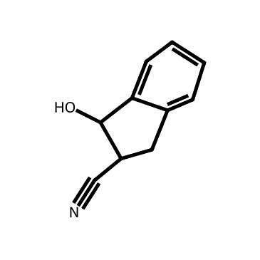 N#CC1Cc2ccccc2C1O